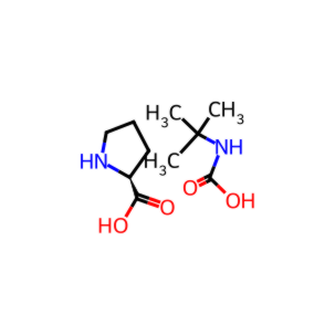 CC(C)(C)NC(=O)O.O=C(O)[C@@H]1CCCN1